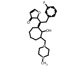 CN1CCN(CC2CCCCC(=C(Cc3cccc(F)c3)C3OC=CC3=O)C2O)CC1